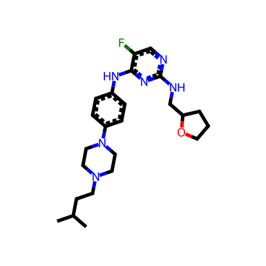 CC(C)CCN1CCN(c2ccc(Nc3nc(NCC4CCCO4)ncc3F)cc2)CC1